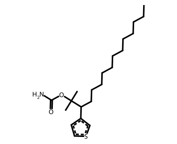 CCCCCCCCCCCCC(c1ccsc1)C(C)(C)OC(N)=O